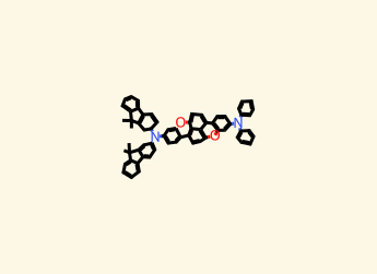 CC1(C)C2=C(C=CC(N(c3ccc4c(c3)Oc3ccc5c6c(ccc-4c36)Oc3cc(N(c4ccccc4)c4ccccc4)ccc3-5)c3ccc4c(c3)C(C)(C)c3ccccc3-4)C2)c2ccccc21